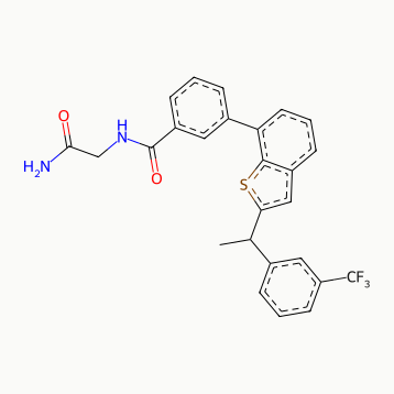 CC(c1cccc(C(F)(F)F)c1)c1cc2cccc(-c3cccc(C(=O)NCC(N)=O)c3)c2s1